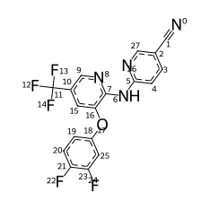 N#Cc1ccc(Nc2ncc(C(F)(F)F)cc2Oc2ccc(F)c(F)c2)nc1